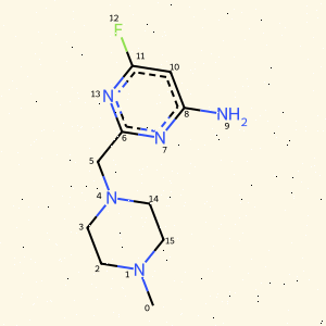 CN1CCN(Cc2nc(N)cc(F)n2)CC1